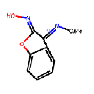 CO/N=C1/C(=NO)Oc2ccccc21